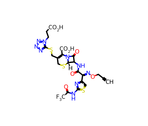 C#CCON=C(C(=O)NC1C(=O)N2C(C(=O)O)=C(CSc3nnnn3CCC(=O)O)CS[C@@H]12)c1csc(NC(=O)C(F)(F)F)n1